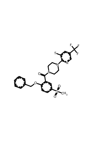 CS(=O)(=O)c1ccc(OCc2ccccc2)c(C(=O)N2CCN(c3ncc(C(F)(F)F)cc3F)CC2)c1